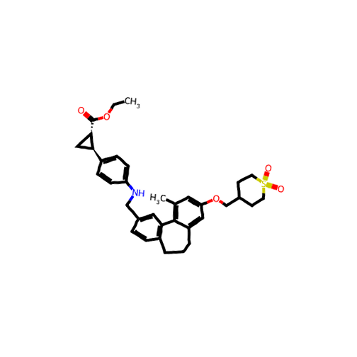 CCOC(=O)[C@H]1C[C@@H]1c1ccc(NCc2ccc3c(c2)-c2c(C)cc(OCC4CCS(=O)(=O)CC4)cc2CCC3)cc1